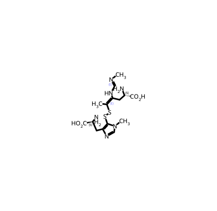 C/N=C/N/C(C[C@H](N)C(=O)O)=C(\C)SSc1c(C[C@H](N)C(=O)O)ncn1C